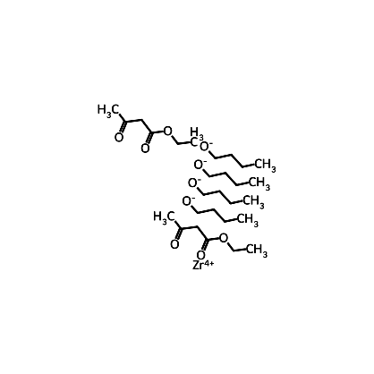 CCCC[O-].CCCC[O-].CCCC[O-].CCCC[O-].CCOC(=O)CC(C)=O.CCOC(=O)CC(C)=O.[Zr+4]